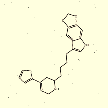 C1=C(c2cccs2)CC(CCCCc2c[nH]c3cc4c(cc23)OCO4)NC1